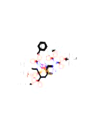 CCOC(=O)C(Cc1cnc(N(C(=O)OC(C)(C)C)C(=O)OC(C)(C)C)c(C)c1)C(O)([PH2]=O)C(NC(=O)OCc1ccccc1)C(C)C